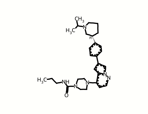 CCCNC(=O)N1CCN(c2ccnn3cc(-c4ccc([C@H]5CCCN(C(C)C)C5)cc4)cc23)CC1